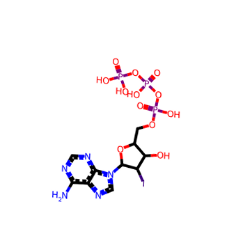 Nc1ncnc2c1ncn2C1OC(COP(=O)(O)OP(=O)(O)OP(=O)(O)O)C(O)C1I